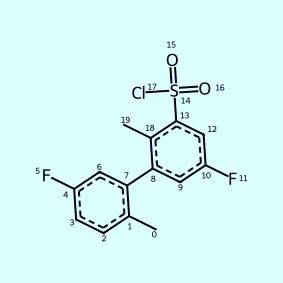 Cc1ccc(F)cc1-c1cc(F)cc(S(=O)(=O)Cl)c1C